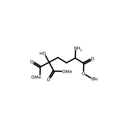 COC(=O)C(O)(CCC(N)C(=O)OC(C)(C)C)C(=O)OC